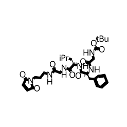 CC(C)C[C@H](NC(=O)[C@H](Cc1ccccc1)NC(=O)CNC(=O)OC(C)(C)C)C(=O)NCC(=O)NCCCN1C(=O)C=CC1=O